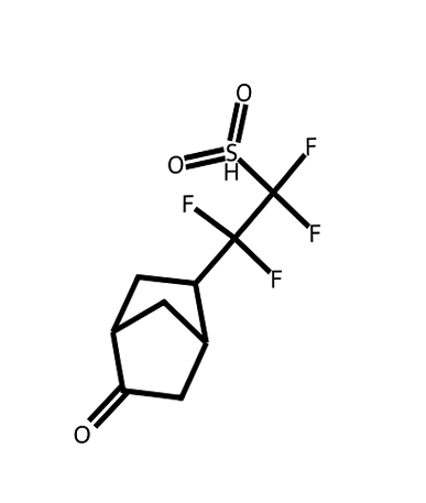 O=C1CC2CC1CC2C(F)(F)C(F)(F)[SH](=O)=O